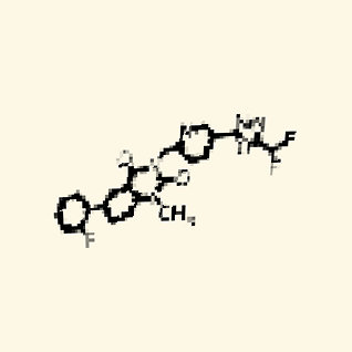 Cn1c(=O)n(Cc2ccc(-c3nnc(C(F)F)o3)cn2)c(=O)c2cc(-c3ccccc3F)ccc21